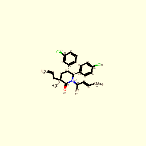 C=CC[C@@]1(C)C[C@H](c2cccc(Cl)c2)[C@@H](c2ccc(Cl)cc2)N(C(C=COC)CC)C1=O